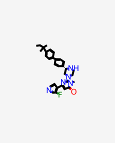 CCC(C)(C)c1ccc(-c2ccc([C@H]3CN(c4nc(-c5ccncc5F)cc(=O)n4C)CCN3)cc2)cc1